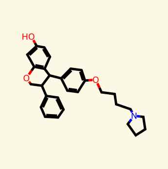 Oc1ccc2c(c1)OCC(c1ccccc1)C2c1ccc(OCCCCN2CCCC2)cc1